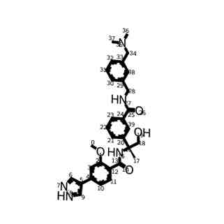 COc1cc(-c2cn[nH]c2)ccc1C(=O)N[C@@](C)(CO)c1cccc(C(=O)NCc2cccc(CN(C)C)c2)c1